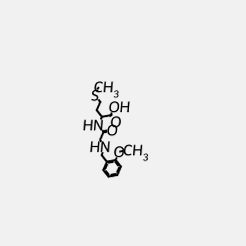 COc1ccccc1CNCC(=O)NC(CCSC)C(=O)O